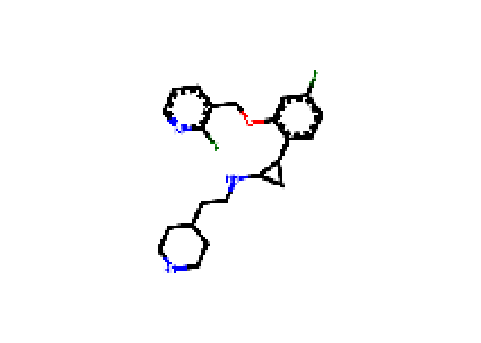 Fc1ccc(C2CC2NCCC2CCNCC2)c(OCc2cccnc2F)c1